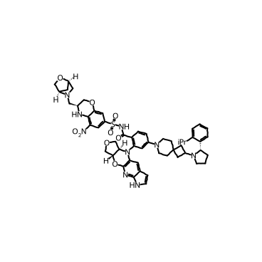 CC(C)c1ccccc1[C@@H]1CCCN1C1CC2(CCN(c3ccc(C(=O)NS(=O)(=O)c4cc5c(c([N+](=O)[O-])c4)N[C@@H](CN4C[C@H]6C[C@@H]4CO6)CO5)c(N4c5cc6cc[nH]c6nc5O[C@@H]5COC[C@H]54)c3)CC2)C1